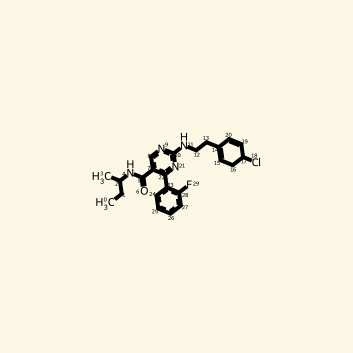 CCC(C)NC(=O)c1cnc(NCCC2=CCC(Cl)C=C2)nc1-c1ccccc1F